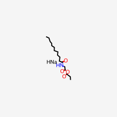 CCCCCCCCCCCC(=O)NCC(=O)OC(=O)CC.[NaH]